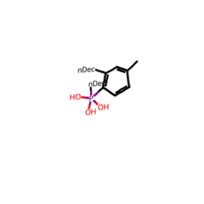 CCCCCCCCCCc1cc(C)ccc1P(O)(O)(O)CCCCCCCCCC